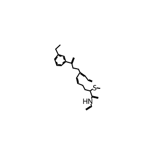 C=C/C=C(\C=C/CCC(SC)C(=C)NC=C)CCC(=C)c1cccc(CC)c1